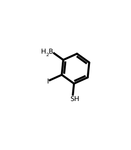 Bc1cccc(S)c1I